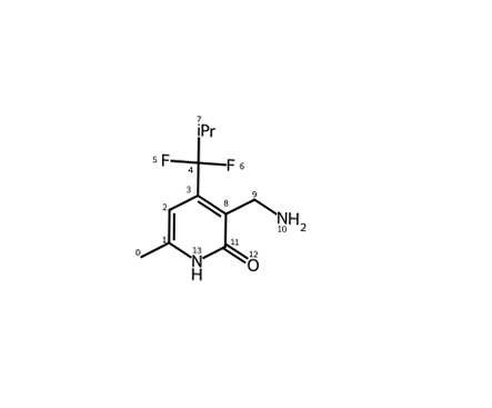 Cc1cc(C(F)(F)C(C)C)c(CN)c(=O)[nH]1